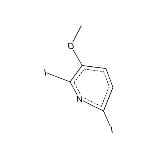 COc1ccc(I)nc1I